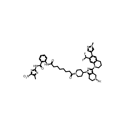 CC(=O)N1CCc2c(c(N3CCCc4cc(-c5cnn(C)c5)c(C(F)F)cc43)nn2C2CCN(C(=O)CCCCCCC(=O)Nc3ccccc3C(=O)Nc3nc(C)c([N+](=O)[O-])s3)CC2)C1